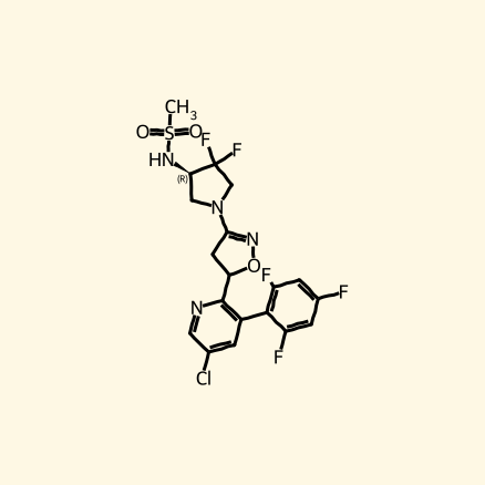 CS(=O)(=O)N[C@@H]1CN(C2=NOC(c3ncc(Cl)cc3-c3c(F)cc(F)cc3F)C2)CC1(F)F